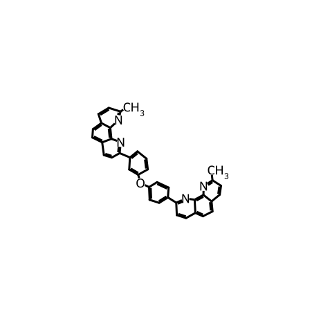 Cc1ccc2ccc3ccc(-c4ccc(Oc5cccc(-c6ccc7ccc8ccc(C)nc8c7n6)c5)cc4)nc3c2n1